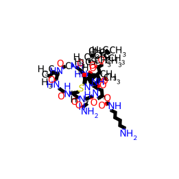 CC[C@H](C)[C@@H]1NC(=O)CNC(=O)[C@@H]2Cc3c([nH]c4cc(OC)ccc34)SC[C@H](NC(=O)CNC1=O)C(=O)N[C@@H](CC(N)=O)C(=O)N1C[C@H](OC(=O)NCCCCCCN)CC1C(=O)N[C@@H]([C@@H](C)C(CO[Si](C)(C)C(C)(C)C)O[Si](C)(C)C(C)(C)C)C(=O)N2